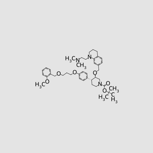 COc1ccccc1COCCCOc1ccc([C@H]2CCN(C(=O)OC(C)(C)C)C[C@@H]2OCc2ccc3c(c2)N(CCN(C)C)CCC3)cc1